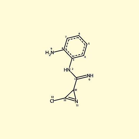 N=C(Nc1ccccc1N)C1N=C1Cl